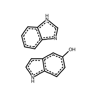 Oc1ccc2[nH]ccc2c1.c1ccc2[nH]cnc2c1